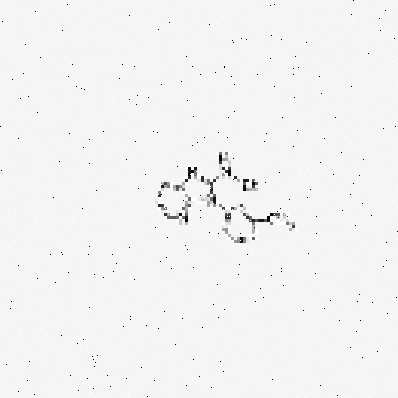 CCNc1nc2cccnc2n1-c1cccc(C)c1